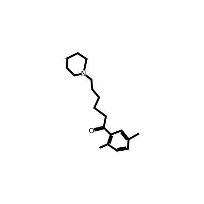 Cc1ccc(C)c(C(=O)CCCCCN2CC[CH]CC2)c1